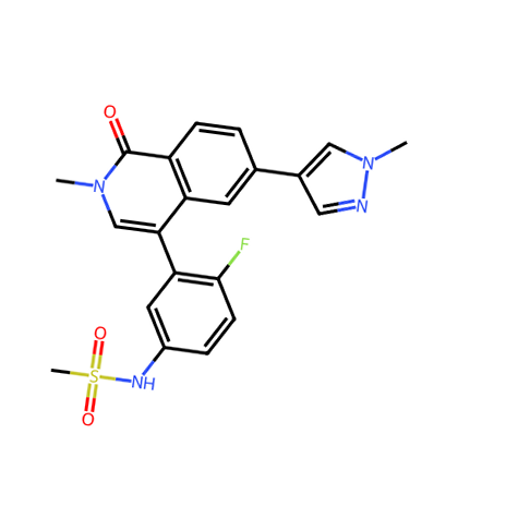 Cn1cc(-c2ccc3c(=O)n(C)cc(-c4cc(NS(C)(=O)=O)ccc4F)c3c2)cn1